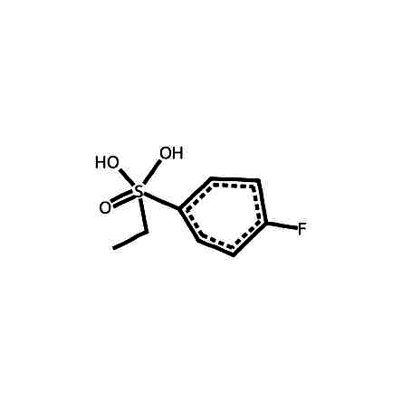 CCS(=O)(O)(O)c1ccc(F)cc1